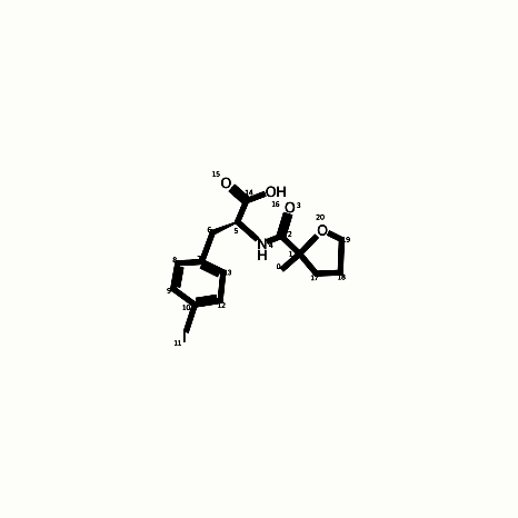 CC1(C(=O)N[C@@H](Cc2ccc(I)cc2)C(=O)O)CCCO1